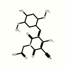 COC1CC(/C=C2\C(=O)N(CC(=O)O)C(=O)C(C#N)=C2C)C(OC)CC1O